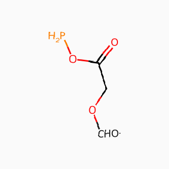 O=[C]OCC(=O)OP